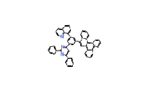 c1ccc(-c2cc(-c3cc(-c4cc5c6ccccc6c6ccccc6c5c5ccccc45)cc(-c4cccc5cccnc45)c3)nc(-c3ccccc3)n2)cc1